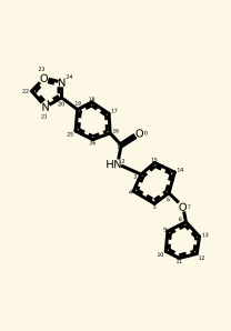 O=C(Nc1ccc(Oc2ccccc2)cc1)c1ccc(-c2ncon2)cc1